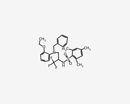 CCOc1ccccc1N(Cc1ccccc1)CC(NS(=O)(=O)c1c(C)cc(C)cc1C)C(F)(F)F